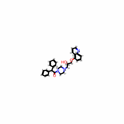 O=C(C(c1ccccc1)c1ccccc1)N1CCN(C[C@@H](O)COc2cccc3ncccc23)CC1